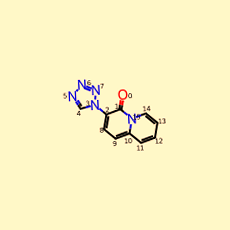 O=c1c(-n2cnnn2)ccc2ccccn12